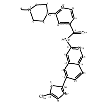 CN1CCN(c2cc(C(=O)Nc3cc4cc(-c5ncc(Cl)s5)ccc4cn3)ccn2)CC1